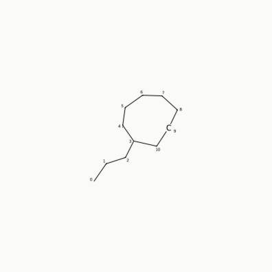 CCCC1[CH]CCCCCC1